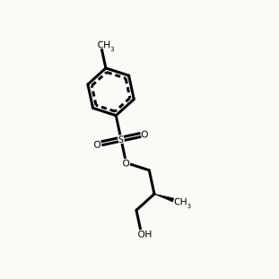 Cc1ccc(S(=O)(=O)OC[C@@H](C)CO)cc1